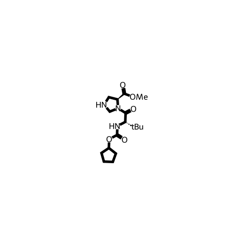 COC(=O)[C@@H]1CNCN1C(=O)[C@@H](NC(=O)OC1CCCC1)C(C)(C)C